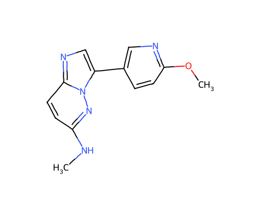 CNc1ccc2ncc(-c3ccc(OC)nc3)n2n1